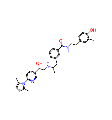 Cc1cc(CCNC(=O)c2cccc(C[C@@H](C)NC[C@@H](O)c3ccc(-n4c(C)ccc4C)nc3)c2)ccc1O